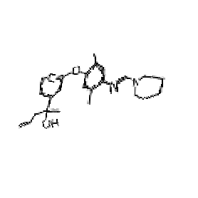 C=CCC(C)(O)c1cccc(Oc2cc(C)c(N=CN3CCCCC3)cc2C)c1